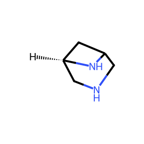 C1NC[C@H]2CC1N2